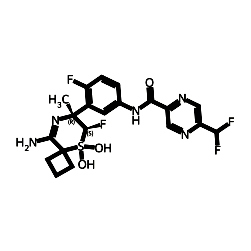 C[C@]1(c2cc(NC(=O)c3cnc(C(F)F)cn3)ccc2F)N=C(N)C2(CCC2)S(O)(O)[C@@H]1F